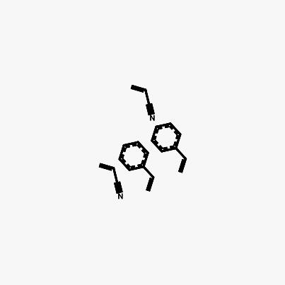 C=CC#N.C=CC#N.C=Cc1ccccc1.C=Cc1ccccc1